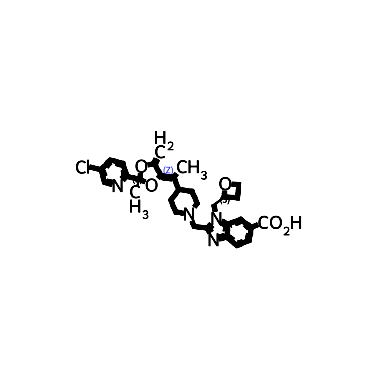 C=C1O[C@](C)(c2ccc(Cl)cn2)O/C1=C(/C)C1CCN(Cc2nc3ccc(C(=O)O)cc3n2C[C@@H]2CCO2)CC1